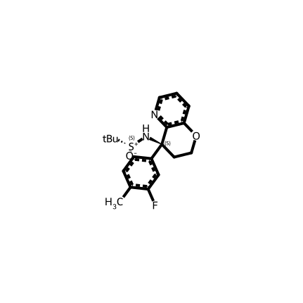 Cc1ccc([C@@]2(N[S@+]([O-])C(C)(C)C)CCOc3cccnc32)cc1F